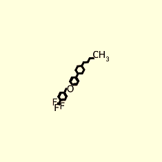 CCCCCC1CCC(c2ccc(OCc3ccc(C(F)(F)F)cc3)cc2)CC1